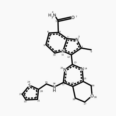 Cc1nc2c(C(N)=O)cccn2c1-c1nc2c(c(NCc3cccs3)n1)CCOC2